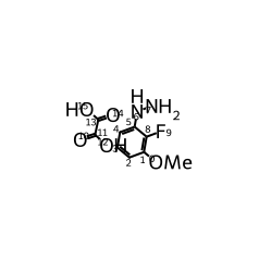 COc1cccc(NN)c1F.O=C(O)C(=O)O